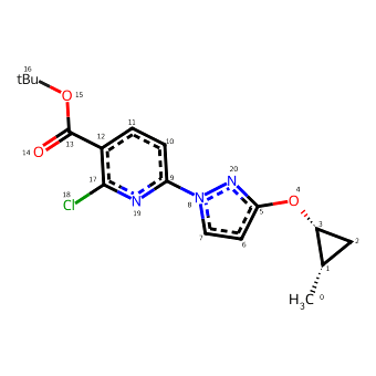 C[C@H]1C[C@H]1Oc1ccn(-c2ccc(C(=O)OC(C)(C)C)c(Cl)n2)n1